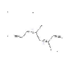 C=C/C=C(C)\C=C(\C)C=C